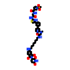 CN(CC(=O)NCCCCCCCCNc1ccc2c(c1)C(=O)N(C1CCC(=O)NC1=O)C2=O)C1CC(c2cccc(C3CSC(NC(=O)CNC(=O)C4CCN(S(C)(=O)=O)C4)N3)c2)CCN1